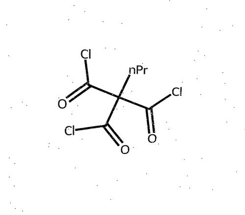 CCCC(C(=O)Cl)(C(=O)Cl)C(=O)Cl